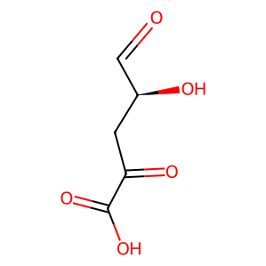 O=C[C@@H](O)CC(=O)C(=O)O